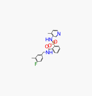 Cc1cc(CNC(=O)c2ccccc2S(=O)(=O)Nc2cnccc2C)ccc1F